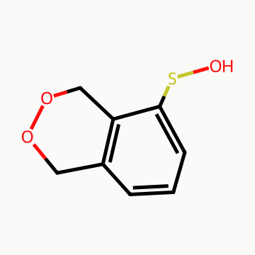 OSc1cccc2c1COOC2